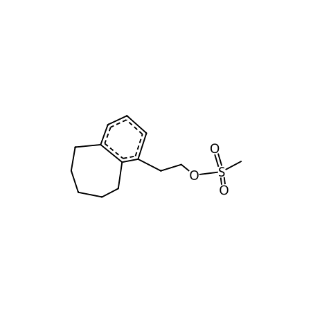 CS(=O)(=O)OCCc1cccc2c1CCCCC2